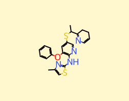 Cc1csc(Nc2ncc(SC(C)C3=NC=CCC3)cc2Oc2ccccc2)n1